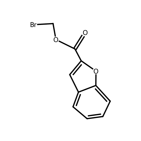 O=C(OCBr)c1cc2ccccc2o1